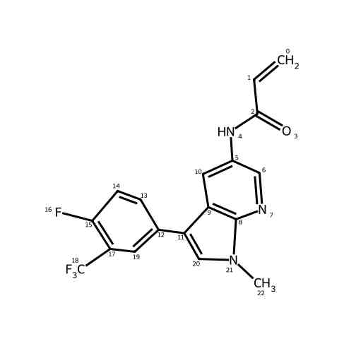 C=CC(=O)Nc1cnc2c(c1)c(-c1ccc(F)c(C(F)(F)F)c1)cn2C